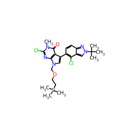 Cn1c(Cl)nc2c(c(-c3ccc4nn(C(C)(C)C)cc4c3Cl)cn2COCC[Si](C)(C)C)c1=O